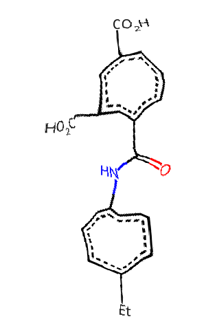 CCc1ccc(NC(=O)c2ccc(C(=O)O)cc2C(=O)O)cc1